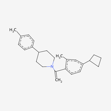 C=C(c1ccc(C2CCC2)cc1C)N1CCC(c2ccc(C)cc2)CC1